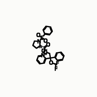 O=C(OCC(OC(F)F)(c1ccccc1)c1cccc[n+]1[O-])[C@@H]1CCCN1S(=O)(=O)c1ccccc1